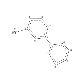 CC(C)c1[c]ccc(-c2ccccc2)c1